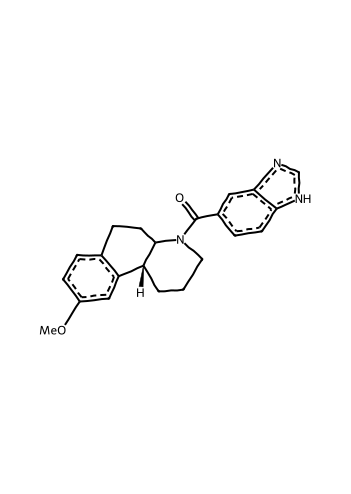 COc1ccc2c(c1)[C@H]1CCCN(C(=O)c3ccc4[nH]cnc4c3)C1CC2